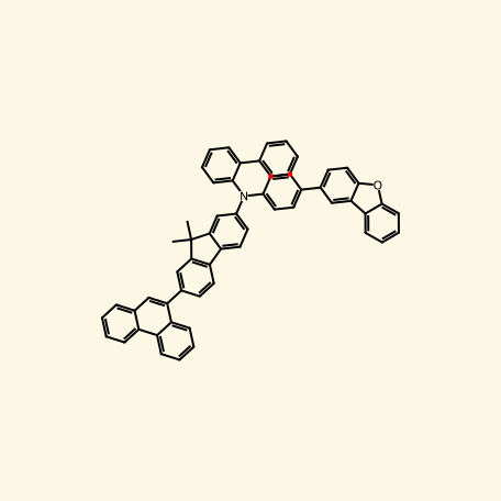 CC1(C)c2cc(-c3cc4ccccc4c4ccccc34)ccc2-c2ccc(N(c3ccc(-c4ccc5oc6ccccc6c5c4)cc3)c3ccccc3-c3ccccc3)cc21